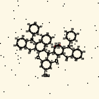 CC(C)(C)c1cc2c3c(c1)Oc1c4c(c5ccccc5c1B3c1c(c3c(c5ccccc15)N(c1ccccc1)c1ccccc1S3)O2)N(c1ccccc1)c1ccccc1S4